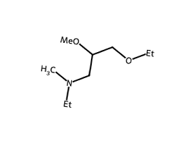 CCOCC(CN(C)CC)OC